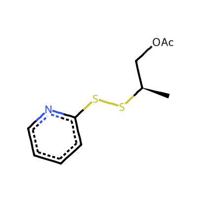 CC(=O)OC[C@@H](C)SSc1ccccn1